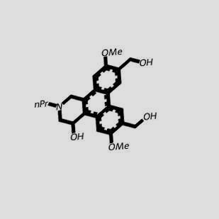 CCCN1Cc2c(c3cc(OC)c(CO)cc3c3cc(CO)c(OC)cc23)C(O)C1